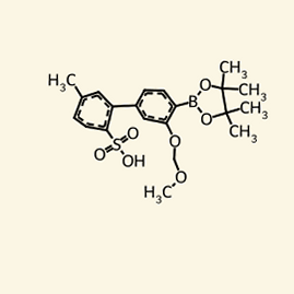 COCOc1cc(-c2cc(C)ccc2S(=O)(=O)O)ccc1B1OC(C)(C)C(C)(C)O1